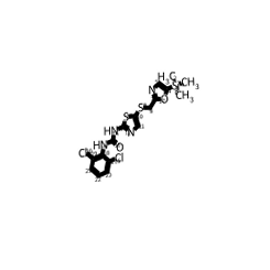 C[Si](C)(C)c1cnc(CSc2cnc(NC(=O)Nc3c(Cl)cccc3Cl)s2)o1